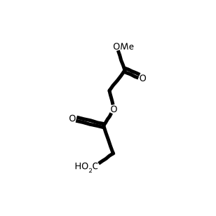 COC(=O)COC(=O)CC(=O)O